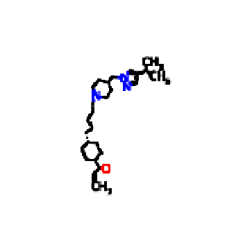 C=CC(=O)[C@H]1CC[C@H](CCCCCN2CCC(Cn3cc(C(C)C)cn3)CC2)CC1